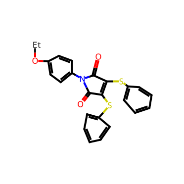 CCOc1ccc(N2C(=O)C(Sc3ccccc3)=C(Sc3ccccc3)C2=O)cc1